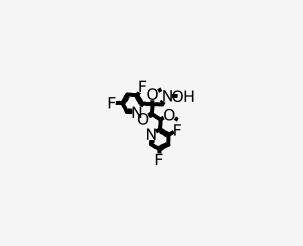 COC(C(=O)C(C=NO)(OC)c1ncc(F)cc1F)c1ncc(F)cc1F